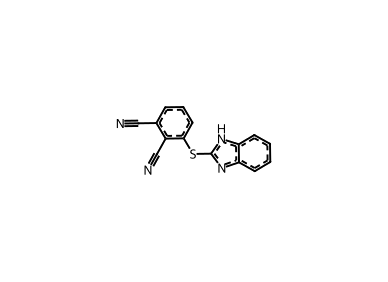 N#Cc1cccc(Sc2nc3ccccc3[nH]2)c1C#N